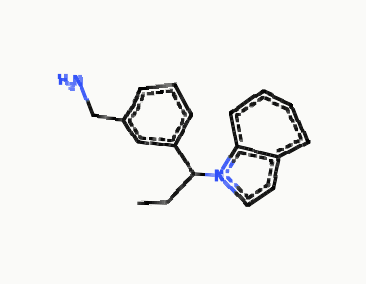 CCC(c1cccc(CN)c1)n1ccc2ccccc21